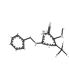 COc1c(C(F)(F)F)nc(SCc2ccccc2)[nH]c1=O